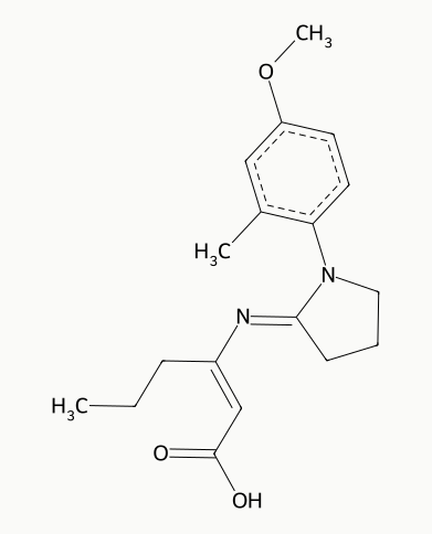 CCCC(=CC(=O)O)N=C1CCCN1c1ccc(OC)cc1C